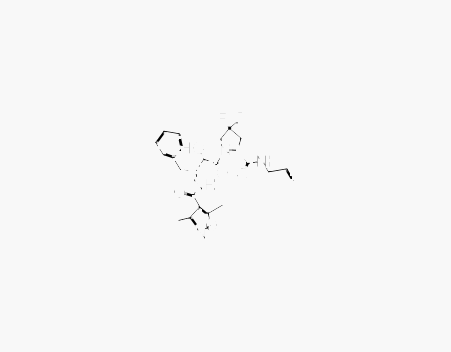 C=CCNC(=O)[C@@H]1CC(F)(F)CN1C(=O)[C@@H](O)[C@H](Cc1ccccc1)NC(=O)c1c(C)noc1C